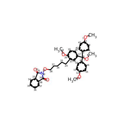 COc1ccc(C(OC)(c2ccc(OC)cc2)c2ccc(OC)c(CCCCCON3C(=O)c4ccccc4C3=O)c2)cc1